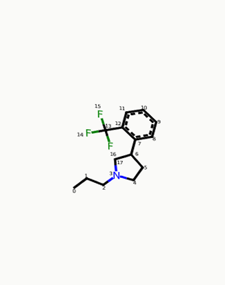 CCCN1CCC(c2ccccc2C(F)(F)F)C1